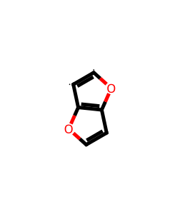 [c]1[c]c2occc2o1